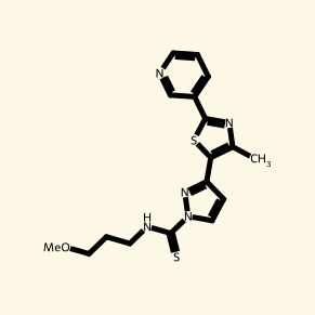 COCCCNC(=S)n1ccc(-c2sc(-c3cccnc3)nc2C)n1